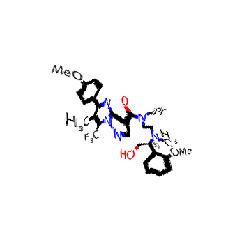 COc1ccc(-c2nc3c(C(=O)N(CCN(C)[C@H](CO)c4ccccc4OC)C(C)C)cnn3c(C(F)(F)F)c2C)cc1